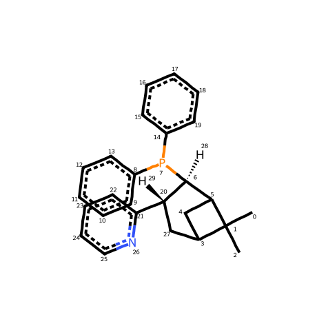 CC1(C)C2CC1[C@H](P(c1ccccc1)c1ccccc1)[C@@H](c1ccccn1)C2